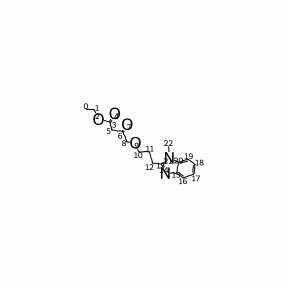 CCOC(=O)CC(=O)COCCCc1nc2ccccc2n1C